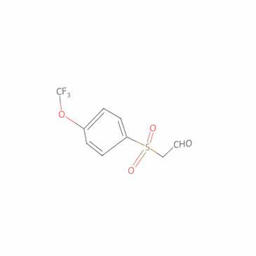 O=CCS(=O)(=O)c1ccc(OC(F)(F)F)cc1